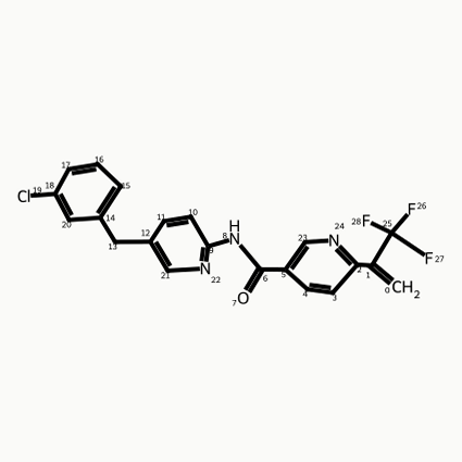 C=C(c1ccc(C(=O)Nc2ccc(Cc3cccc(Cl)c3)cn2)cn1)C(F)(F)F